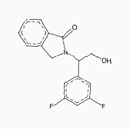 O=C1c2ccccc2CN1C(CO)c1cc(F)cc(F)c1